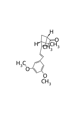 COc1cc(/C=C/C2=CC(=O)[C@H]3C[C@@H]2C3(C)C)cc(OC)c1